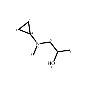 CC(O)CN(C)C1CC1